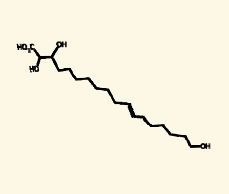 O=C(O)C(O)C(O)CCCCCCC/C=C/CCCCCCO